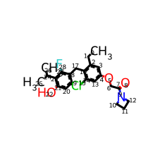 CCc1cc(OCC(=O)N2CCC2)cc(Cl)c1Cc1ccc(O)c(C(C)C)c1F